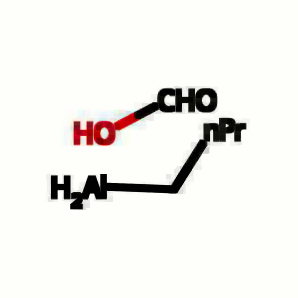 CCC[CH2][AlH2].O=CO